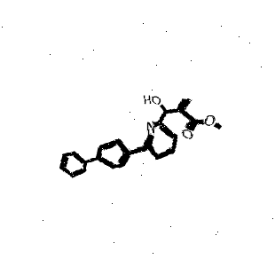 C=C(C(=O)OC)C(O)c1cccc(-c2ccc(-c3ccccc3)cc2)n1